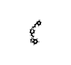 c1ccc(CCCN2CCC(CCn3cnc4ccccc43)CC2)cc1